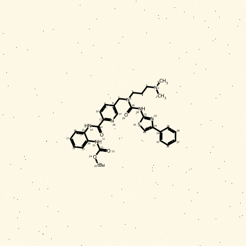 CN(C)CCCN(Cc1ccc(C(=O)Nc2ccccc2NC(=O)OC(C)(C)C)nc1)C(=O)Nc1nc(-c2ccccc2)cs1